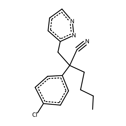 CCCCC(C#N)(Cc1cccnn1)c1ccc(Cl)cc1